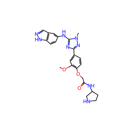 COc1cc(-c2nc(Nc3ccc4[nH]ncc4c3)n(C)n2)ccc1OCC(=O)NC1CCNC1